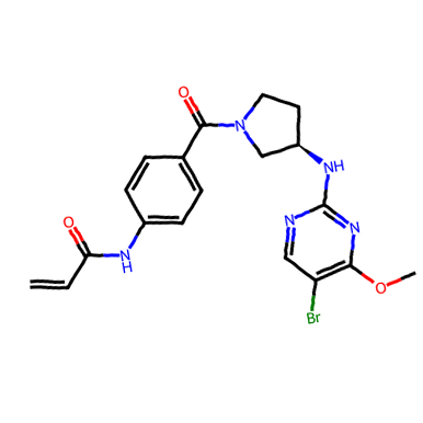 C=CC(=O)Nc1ccc(C(=O)N2CC[C@@H](Nc3ncc(Br)c(OC)n3)C2)cc1